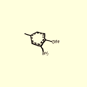 Bc1cc(C)ccc1OC